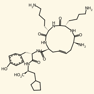 NCCCC[C@@H]1NC(=O)[C@H](CCCCN)NC(=O)[C@@H](N)C/C=C/C[C@@H](C(=O)N[C@@H](Cc2ccc(O)cc2)C(=O)N[C@@H](CC2CCCC2)C(=O)O)NC1=O